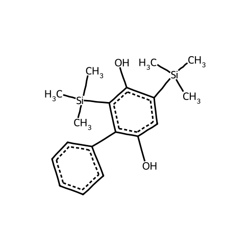 C[Si](C)(C)c1cc(O)c(-c2ccccc2)c([Si](C)(C)C)c1O